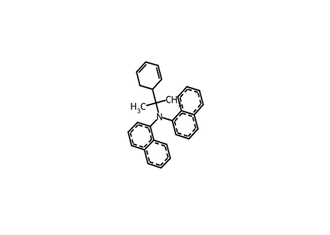 CC(C)(C1C=CC=CC1)N(c1cccc2ccccc12)c1cccc2ccccc12